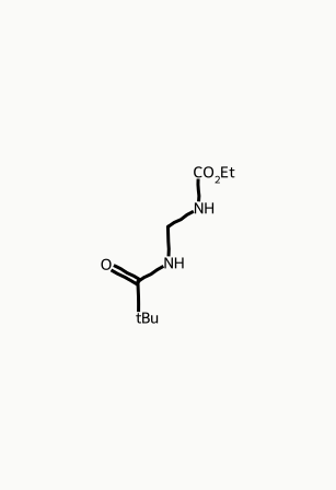 CCOC(=O)NCNC(=O)C(C)(C)C